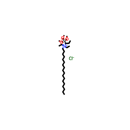 CCCCCCCCCCCCCCCCCC[N+](CC)(CC)C(CC)[Si](OC)(OC)OC.[Cl-]